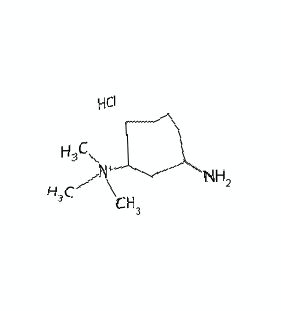 C[N+](C)(C)C1CCCC(N)C1.Cl